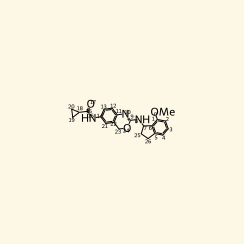 COc1cccc2c1C(NC1=Nc3ccc(NC(=O)C4CC4)cc3CO1)CC2